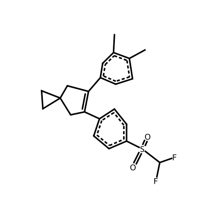 Cc1ccc(C2=C(c3ccc(S(=O)(=O)C(F)F)cc3)CC3(CC3)C2)cc1C